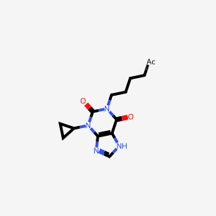 CC(=O)CCCCn1c(=O)c2[nH]cnc2n(C2CC2)c1=O